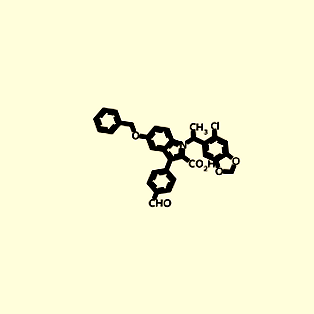 CC(c1cc2c(cc1Cl)OCO2)n1c(C(=O)O)c(-c2ccc(C=O)cc2)c2cc(OCc3ccccc3)ccc21